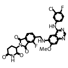 COc1cc2ncnc(Nc3ccc(F)c(Cl)c3)c2cc1NCc1ccc2c(c1F)C(=O)N(C1CCC(=O)NC1=O)C2=O